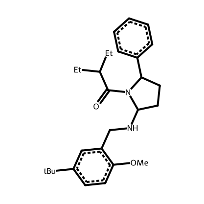 CCC(CC)C(=O)N1C(NCc2cc(C(C)(C)C)ccc2OC)CCC1c1ccccc1